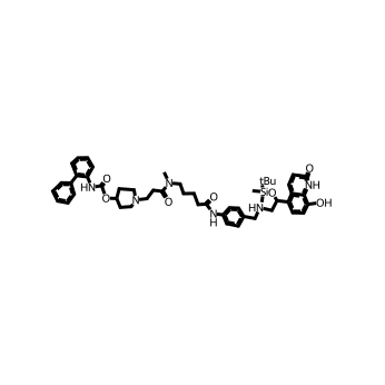 CN(CCCCC(=O)Nc1ccc(CNCC(O[Si](C)(C)C(C)(C)C)c2ccc(O)c3[nH]c(=O)ccc23)cc1)C(=O)CCN1CCC(OC(=O)Nc2ccccc2-c2ccccc2)CC1